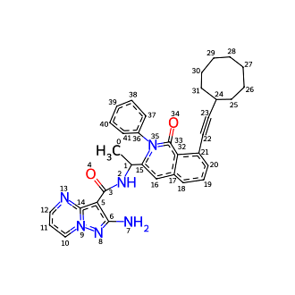 CC(NC(=O)c1c(N)nn2cccnc12)c1cc2cccc(C#CC3CCCCCCC3)c2c(=O)n1-c1ccccc1